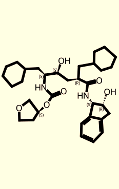 O=C(N[C@@H](CC1CCCCC1)[C@@H](O)C[C@@H](CC1CCCCC1)C(=O)N[C@H]1c2ccccc2C[C@H]1O)O[C@H]1CCOC1